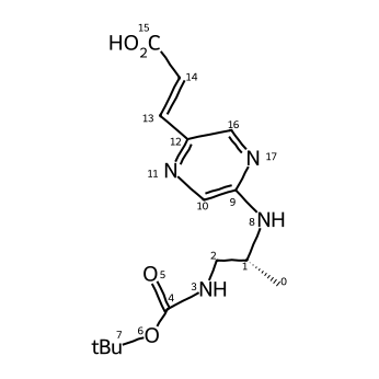 C[C@H](CNC(=O)OC(C)(C)C)Nc1cnc(/C=C/C(=O)O)cn1